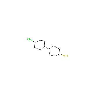 SC1CCC(C2CCC(Cl)CC2)CC1